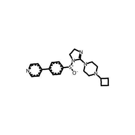 [O-][S+](c1ccc(-c2ccncc2)cc1)N1CCN=C1N1CCN(C2CCC2)CC1